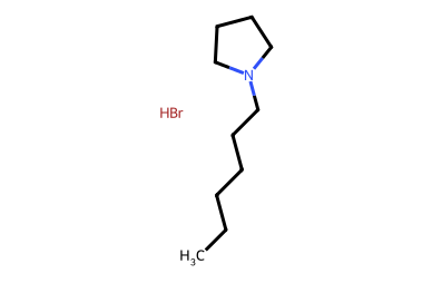 Br.CCCCCCN1CCCC1